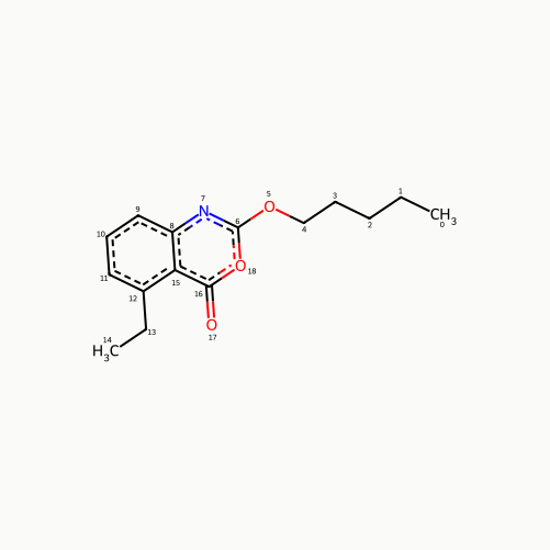 CCCCCOc1nc2cccc(CC)c2c(=O)o1